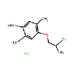 CCCCC(CC)COc1cc(C)c(OC)cc1C.Cl